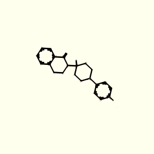 O=C1c2ccccc2CCC1C1(O)CCC(c2ccc(Cl)cc2)CC1